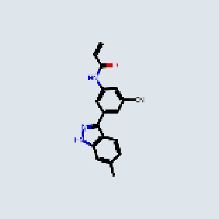 C=CC(=O)Nc1cc(C#N)cc(-c2n[nH]c3cc(C)ccc23)c1